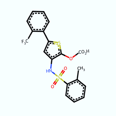 Cc1ccccc1S(=O)(=O)Nc1cc(-c2ccccc2C(F)(F)F)sc1OC(=O)O